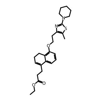 CCOC(=O)CCC1=CCCc2c(OCCc3nc(N4CCCCC4)sc3C)cccc21